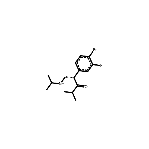 CC(C)NC[C@@H](C(=O)C(C)C)c1ccc(Br)c(F)c1